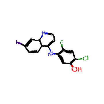 Oc1cc(NC2=CC=NC3C=C(I)C=CC23)c(F)cc1Cl